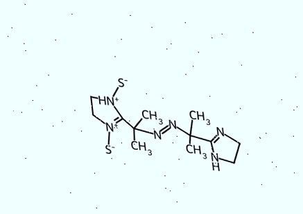 CC(C)(N=NC(C)(C)C1=[N+]([S-])CC[NH+]1[S-])C1=NCCN1